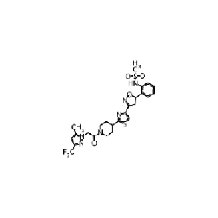 Cc1cc(C(F)(F)F)nn1CC(=O)N1CCC(c2nc(C3=NOC(c4ccccc4NS(C)(=O)=O)C3)cs2)CC1